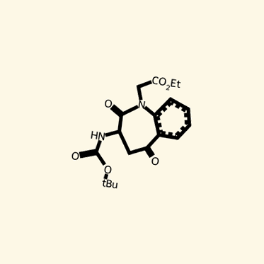 CCOC(=O)CN1C(=O)C(NC(=O)OC(C)(C)C)CC(=O)c2ccccc21